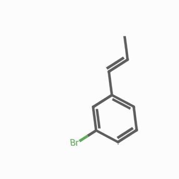 C/C=C/c1cc[c]c(Br)c1